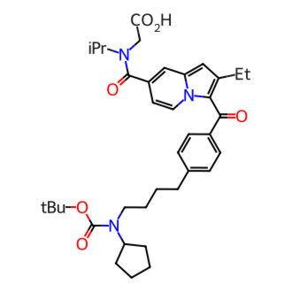 CCc1cc2cc(C(=O)N(CC(=O)O)C(C)C)ccn2c1C(=O)c1ccc(CCCCN(C(=O)OC(C)(C)C)C2CCCC2)cc1